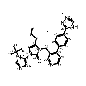 CCCc1cn(-c2nncn2C(C)(C)C)c(=O)n1Cc1cnccc1-c1ccc(-c2nnn[nH]2)cc1